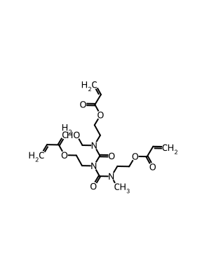 C=CC(=C)OCCN(C(=O)N(C)CCOC(=O)C=C)C(=O)N(CO)CCOC(=O)C=C